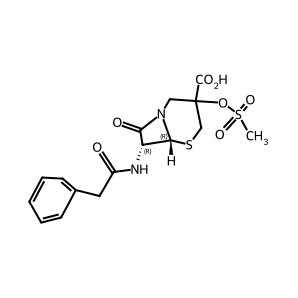 CS(=O)(=O)OC1(C(=O)O)CS[C@@H]2[C@H](NC(=O)Cc3ccccc3)C(=O)N2C1